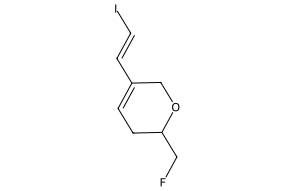 FCC1CC=C(C=CI)CO1